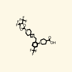 O=C(O)C1CCN(c2cc(C(F)(F)F)ccc2CN2CC3(CCN(C(=O)OC(C(F)(F)F)C(F)(F)F)CC3)C2)CC1